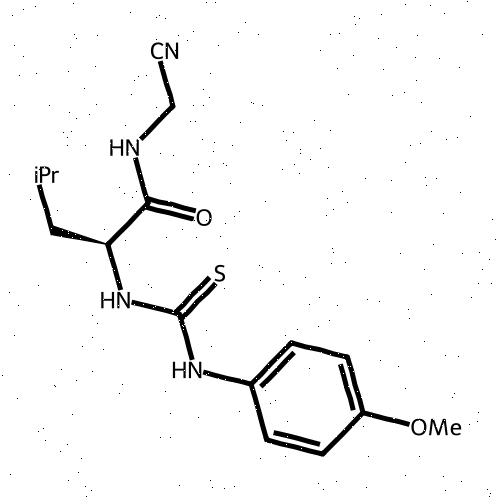 COc1ccc(NC(=S)N[C@@H](CC(C)C)C(=O)NCC#N)cc1